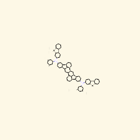 CCC1(CC)c2ccccc2-c2ccc(N(c3cc(C)cc(C)c3)c3ccc4c(c3)c3cccc5c6cc7c8ccc(N(c9cc(C)cc(C)c9)c9ccc%10c(c9)C(CC)(CC)c9ccccc9-%10)cc8c8cccc(c6cc4c35)c87)cc21